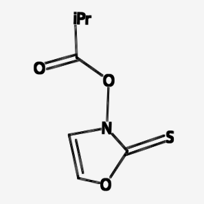 CC(C)C(=O)On1ccoc1=S